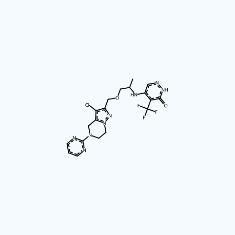 CC(COCc1nn2c(c1Cl)CN(c1ncccn1)CC2)Nc1cn[nH]c(=O)c1C(F)(F)F